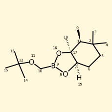 C[C@H]1C(C)(C)CC[C@H]2OB(COC(C)(C)C)O[C@]21C